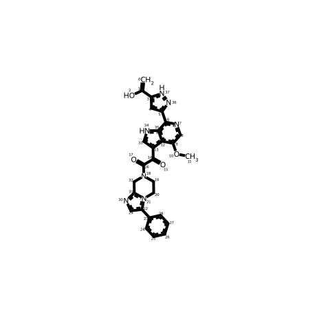 C=C(O)c1cc(-c2ncc(OC)c3c(C(=O)C(=O)N4CCn5c(-c6ccccc6)cnc5C4)c[nH]c23)n[nH]1